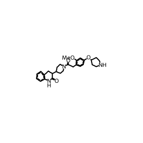 COc1cc(OC2CCNCC2)ccc1CC(=O)N1CCC(C2Cc3ccccc3NC2=O)CC1